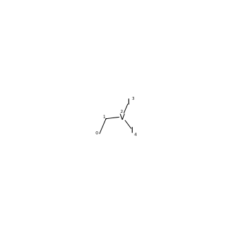 C[CH2][V]([I])[I]